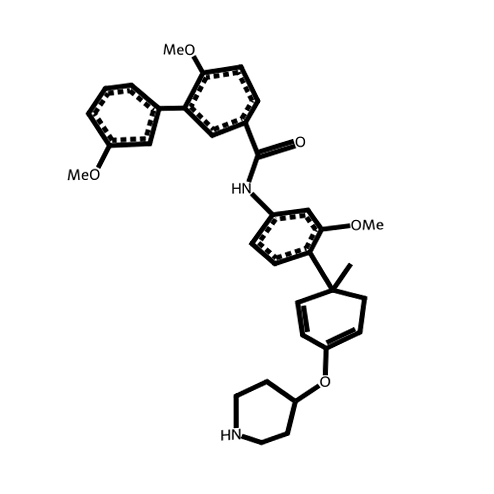 COc1cccc(-c2cc(C(=O)Nc3ccc(C4(C)C=CC(OC5CCNCC5)=CC4)c(OC)c3)ccc2OC)c1